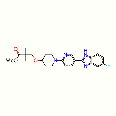 COC(=O)C(C)(C)COC1CCN(c2ccc(-c3nc4cc(F)ccc4[nH]3)cn2)CC1